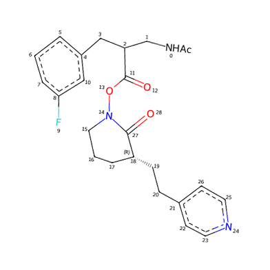 CC(=O)NCC(Cc1cccc(F)c1)C(=O)ON1CCC[C@@H](CCc2ccncc2)C1=O